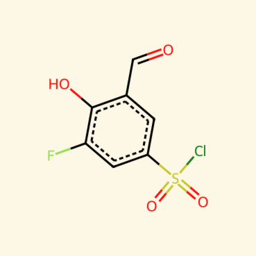 O=Cc1cc(S(=O)(=O)Cl)cc(F)c1O